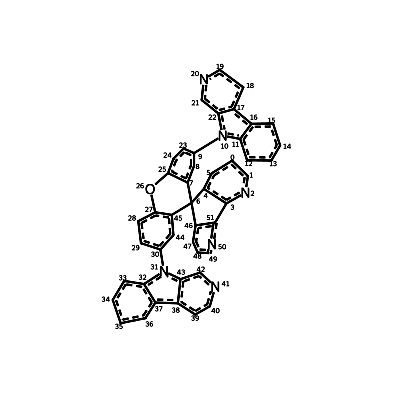 c1cnc2c(c1)C1(c3cc(-n4c5ccccc5c5ccncc54)ccc3Oc3ccc(-n4c5ccccc5c5ccncc54)cc31)c1cccnc1-2